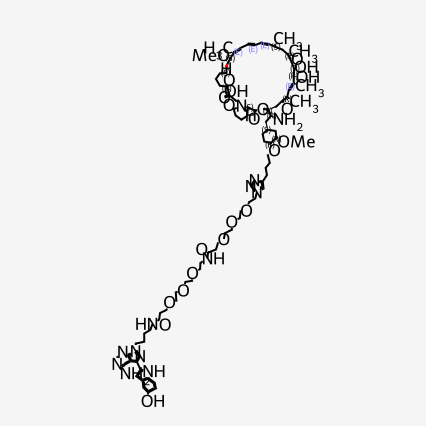 CO[C@H]1C[C@@H]2CCC[C@@](O)(O2)C(=O)C(=O)N2CCCC[C@H]2C(=O)O[C@H]([C@H](N)C[C@@H]2CC[C@@H](OCCCCc3cn(CCOCCOCCOCCC(=O)NCCOCCOCCOCCC(=O)NCCCCn4nc(-c5cc6cc(O)ccc6[nH]5)c5c(N)ncnc54)nn3)[C@H](OC)C2)CC(=O)[C@H](C)/C=C(\C)[C@@H](O)[C@@H](O)C(=O)[C@H](C)C[C@H](C)/C=C/C=C/C=C/1C